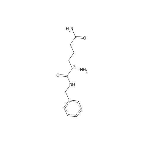 NC(=O)CCC[C@H](N)C(=O)NCc1ccccc1